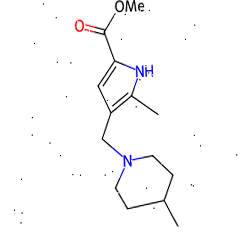 COC(=O)c1cc(CN2CCC(C)CC2)c(C)[nH]1